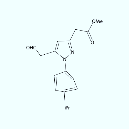 COC(=O)Cc1cc(CC=O)n(-c2ccc(C(C)C)cc2)n1